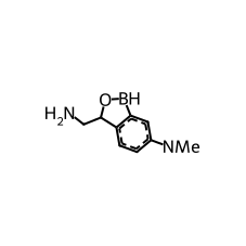 CNc1ccc2c(c1)BOC2CN